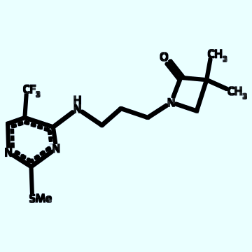 CSc1ncc(C(F)(F)F)c(NCCCN2CC(C)(C)C2=O)n1